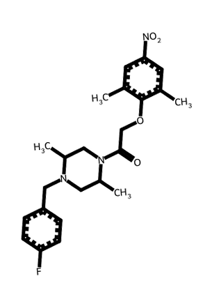 Cc1cc([N+](=O)[O-])cc(C)c1OCC(=O)N1CC(C)N(Cc2ccc(F)cc2)CC1C